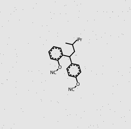 CC(C)C(C)CC(c1ccc(OC#N)cc1)c1ccccc1OC#N